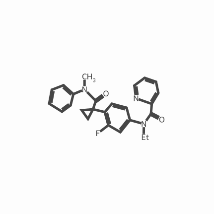 CCN(C(=O)c1ccccn1)c1ccc(C2(C(=O)N(C)c3ccccc3)CC2)c(F)c1